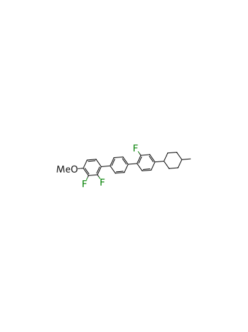 COc1ccc(-c2ccc(-c3ccc(C4CCC(C)CC4)cc3F)cc2)c(F)c1F